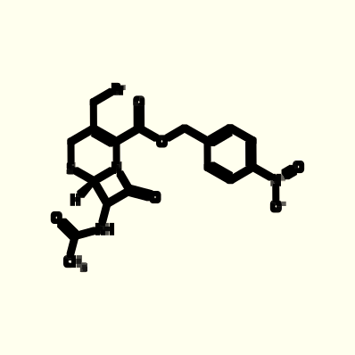 CC(=O)NC1C(=O)N2C(C(=O)OCc3ccc([N+](=O)[O-])cc3)=C(CBr)CS[C@@H]12